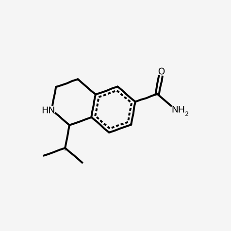 C[C](C)C1NCCc2cc(C(N)=O)ccc21